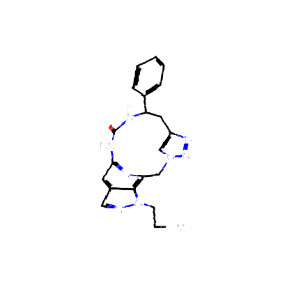 COCCn1ncc2cc3nc(c21)Cn1cc(nn1)CC(c1ccccc1)NC(=O)N3